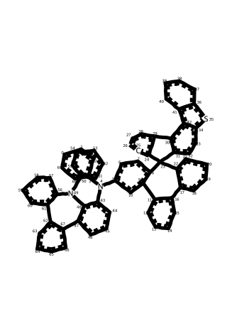 c1ccc(N(c2ccc3c(c2)-c2ccccc2-c2ccccc2C32c3ccccc3-c3c2ccc2sc4ccccc4c32)c2cccc3c2N(c2ccccc2)c2ccccc2-c2ccccc2-3)cc1